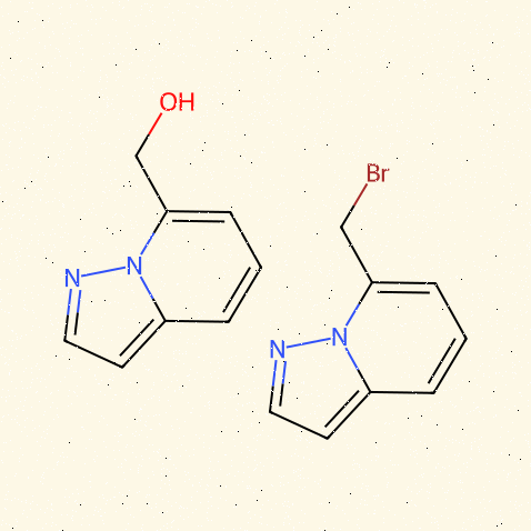 BrCc1cccc2ccnn12.OCc1cccc2ccnn12